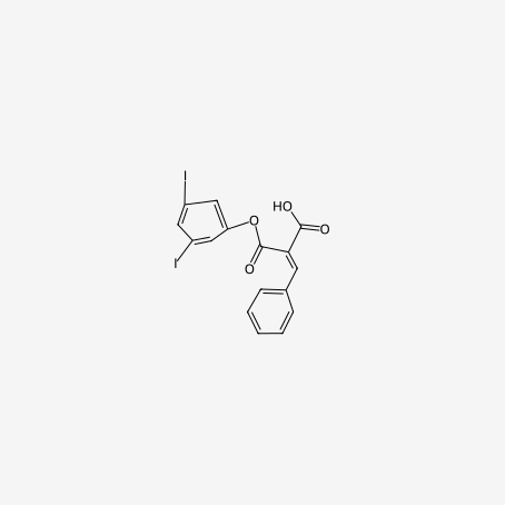 O=C(O)/C(=C/c1ccccc1)C(=O)Oc1cc(I)cc(I)c1